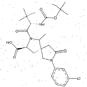 CC1N(C(=O)[C@@H](NC(=O)OC(C)(C)C)C(C)(C)C)[C@H](C(=O)O)C[C@@]12CC(=O)N(c1cccc(Cl)c1)C2